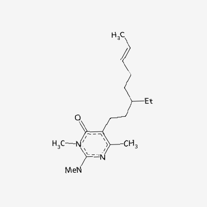 CC=CCCC(CC)CCc1c(C)nc(NC)n(C)c1=O